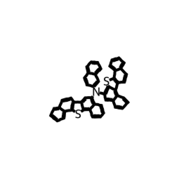 c1ccc2cc(N(c3cc4c5ccc6ccccc6c5sc4c4ccccc34)c3cc4ccccc4c4c3sc3c5ccccc5ccc34)ccc2c1